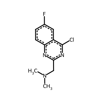 CN(C)Cc1nc(Cl)c2cc(F)ccc2n1